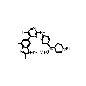 CCN1CCC([C@H](OC)c2ccc(Nc3ncc(F)c(-c4cc(F)c5nc(C)n(C(C)C)c5c4)n3)nc2)CC1